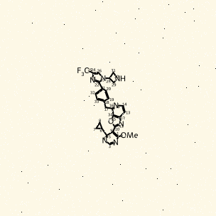 COc1ncnc(C2CC2)c1-c1nc2ccnc(Cc3ccc(-c4nc(C(F)(F)F)cn4C4CNC4)cc3)c2o1